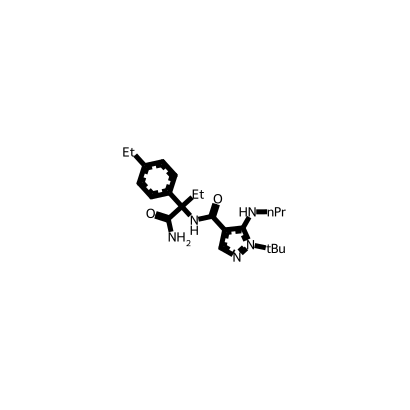 CCCNc1c(C(=O)NC(CC)(C(N)=O)c2ccc(CC)cc2)cnn1C(C)(C)C